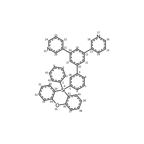 c1ccc([Si]2(c3cccc(-c4cc(-c5cccnc5)cc(-c5cccnc5)c4)c3)c3ccccc3Oc3ccccc32)cc1